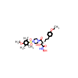 CCOc1ccc(CCC[C@@H](C(=O)N2CCN(S(=O)(=O)c3c(C)cc(OC)c(C)c3C)CC2)[C@H](O)C(=O)NO)cc1